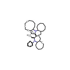 C=CC1=C2B(CC3CCCCCCCC3N(c3ccccc3)/C2=C/C)CC2CCCCCCCC2N1C1CCCCCCCCCC1